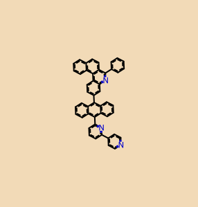 c1ccc(-c2nc3cc(-c4c5ccccc5c(-c5cccc(-c6ccncc6)n5)c5ccccc45)ccc3c3c2ccc2ccccc23)cc1